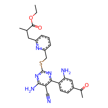 CCOC(=O)C(C)Cc1cccc(CSc2nc(N)c(C#N)c(-c3ccc(C(C)=O)cc3N)n2)n1